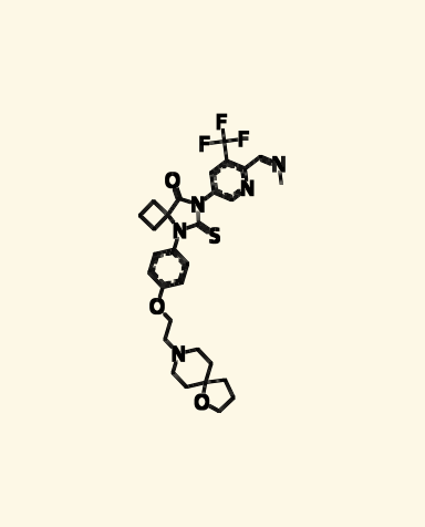 C/N=C\c1ncc(N2C(=O)C3(CCC3)N(c3ccc(OCCN4CCC5(CCCO5)CC4)cc3)C2=S)cc1C(F)(F)F